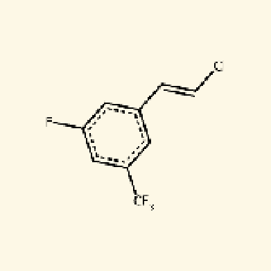 Fc1cc(C=CCl)cc(C(F)(F)F)c1